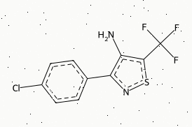 Nc1c(-c2ccc(Cl)cc2)nsc1C(F)(F)F